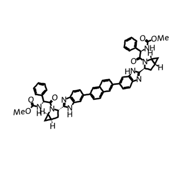 COC(=O)N[C@@H](C(=O)N1[C@@H]2C[C@@H]2C[C@H]1c1nc2ccc(-c3ccc4cc(-c5ccc6nc([C@@H]7C[C@H]8C[C@H]8N7C(=O)[C@H](NC(=O)OC)c7ccccc7)[nH]c6c5)ccc4c3)cc2[nH]1)c1ccccc1